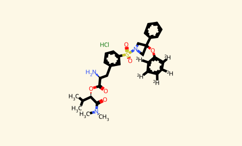 Cl.[2H]c1c([2H])c([2H])c(OC2(c3ccccc3)CN(S(=O)(=O)c3cccc(C[C@H](N)C(=O)O[C@H](C(=O)N(C)C)C(C)C)c3)C2)c([2H])c1[2H]